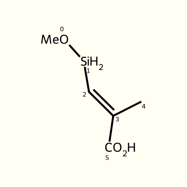 CO[SiH2]C=C(C)C(=O)O